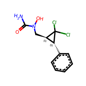 NC(=O)N(O)C[C@@H]1[C@@H](c2ccccc2)C1(Cl)Cl